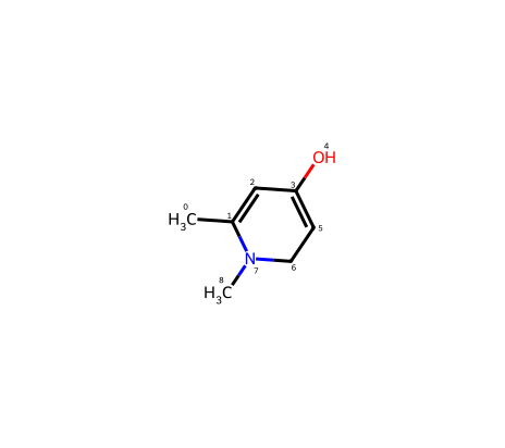 CC1=CC(O)=CCN1C